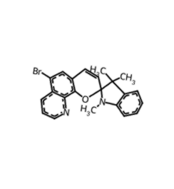 CN1c2ccccc2C(C)(C)C12C=Cc1cc(Br)c3cccnc3c1O2